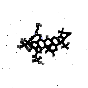 C=C/C=C(C#CC(C)(C)S(C)(=O)=O)\N=C(/c1ccc(Cl)c2c(NS(C)(=O)=O)nn(CC(F)(F)F)c12)C(Cc1cc(F)cc(F)c1)NC(=O)Cn1nc(C(F)(F)F)c2c1C(F)(F)C1CC21